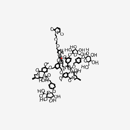 C=C1C[C@H]2C(O)N(C(=O)OCc3ccc(O[C@@H]4O[C@H](C(=O)O)[C@H](O)[C@H](O)[C@H]4O)cc3)c3cc(OCc4cc(COc5cc6c(cc5OC)C(=O)N5CC(=C)C[C@H]5C(O)N6C(=O)OCc5ccc(O[C@@H]6O[C@H](CO)[C@H](O)[C@H](O)[C@H]6O)cc5)cc(OS(=O)(=O)Oc5cc(C(=O)N(C)CCOCCn6cc(COCCOCCN7C(=O)C=CC7=O)nn6)ccc5O[C@@H]5O[C@H](CO)[C@H](O)[C@H](O)[C@H]5O)c4)c(OC)cc3C(=O)N2C1